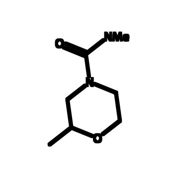 CNC(=O)N1CCOC(C)C1